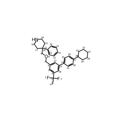 FC(F)(F)c1cc(COCC2(c3ccccc3)CCNCC2)cc(-c2ccc(C3CCCCC3)cc2)c1